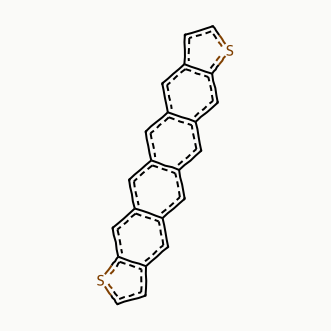 c1cc2cc3cc4cc5cc6sccc6cc5cc4cc3cc2s1